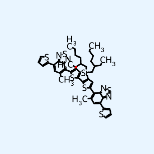 CCCCC(CC)C[Si]1(CC(CC)CCCC)c2cc(-c3c(C)cc(-c4cccs4)c4nsnc34)sc2-c2sc(-c3c(C)cc(-c4cccs4)c4nsnc34)cc21